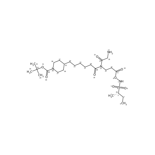 CC[C@H](C)S(=O)(=O)NOC(=O)CCN(C(=O)CN)C(=O)CCCCCC1CCN(C(=O)OC(C)(C)C)CC1